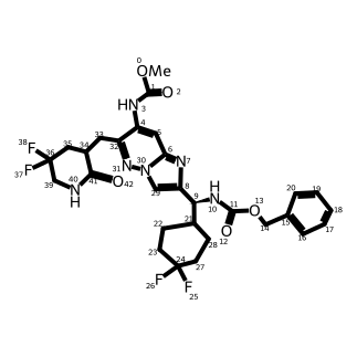 COC(=O)Nc1cc2nc([C@@H](NC(=O)OCc3ccccc3)C3CCC(F)(F)CC3)cn2nc1CC1CC(F)(F)CNC1=O